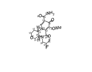 COc1c2n(cc(C(N)=O)c1=O)[C@H]1CCOC[C@H]1N(CC(F)F)C2=O